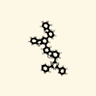 c1ccc(-c2nc(-c3ccccc3)nc(-c3cccc4c3oc3ccc(-c5cc(-c6cccc7c6sc6ccccc67)cc6c5sc5ccccc56)cc34)n2)cc1